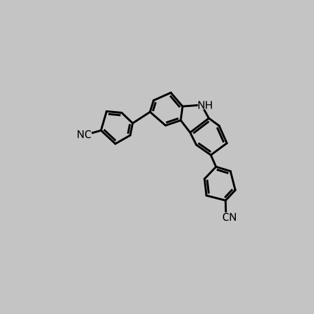 N#Cc1ccc(-c2ccc3[nH]c4ccc(-c5ccc(C#N)cc5)cc4c3c2)cc1